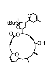 C=C1CC(O)C=CCC(C(C=CC2CC(C)=CCO2)O[Si](C)(C)C(C)(C)C)OC(=O)C=CCC2C=CCC(CC(C)C1)O2